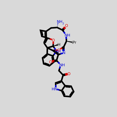 CC(C)[C@@H]1NC(=O)[C@@H](N)Cc2ccc3c(c2)C2(c4ccccc4N[C@H]2O3)c2oc1nc2C(=O)NCC(=O)c1c[nH]c2ccccc12